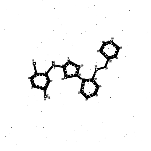 FC(F)(F)c1ccc(Cl)c(Nc2nnc(-c3ccccc3OCc3ccncc3)o2)c1